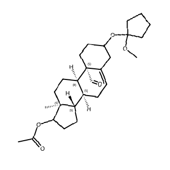 COC1(OC2CC[C@@]3(C=O)C(=CC[C@@H]4[C@H]3CC[C@]3(C)C(OC(C)=O)CC[C@@H]43)C2)CCCC1